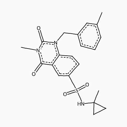 Cc1cccc(Cn2c(=O)n(C)c(=O)c3cc(S(=O)(=O)NC4(C)CC4)ccc32)c1